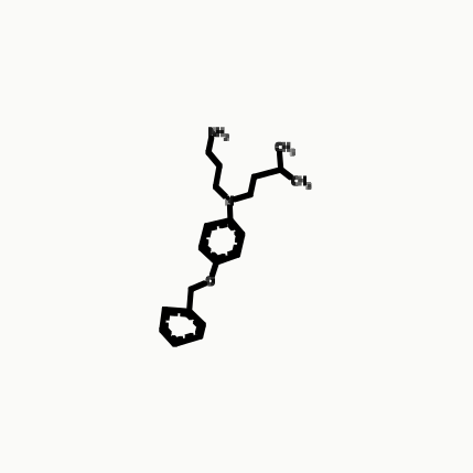 CC(C)CCN(CCCN)c1ccc(OCc2ccccc2)cc1